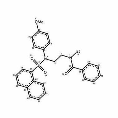 CCN(CCN(c1ccc(OC)nc1)S(=O)(=O)c1cccc2ccccc12)C(=O)c1ccccc1